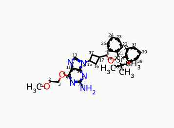 COCCOc1nc(N)nc2c1ncn2C1CC(CO[Si](c2ccccc2)(c2ccccc2)C(C)(C)C)C1